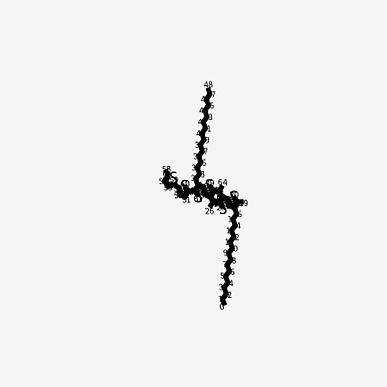 CCCCCCCCCCCCCCCCCc1c(C)sc2c1sc1c(C)c3c(sc4c(CCCCCCCCCCCCCCCCC)c(-c5ccc(-c6ccc(C)s6)s5)sc43)c(C)c12